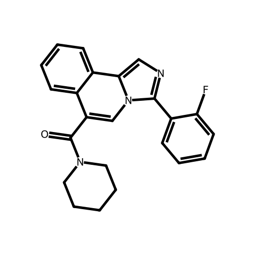 O=C(c1cn2c(-c3ccccc3F)ncc2c2ccccc12)N1CCCCC1